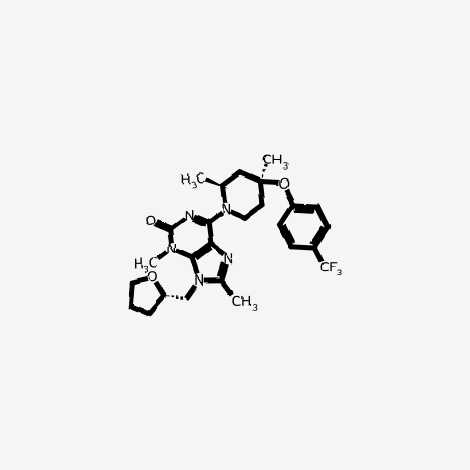 Cc1nc2c(N3CC[C@](C)(Oc4ccc(C(F)(F)F)cc4)C[C@@H]3C)nc(=O)n(C)c2n1C[C@@H]1CCCO1